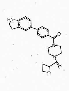 O=C(c1ccc(-c2ccc3c(c2)CCN3)cc1)N1CCN(C(=O)C2CCO2)CC1